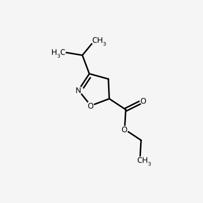 CCOC(=O)C1CC(C(C)C)=NO1